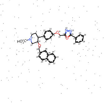 O=C(O)N1CCC(c2ccc(OCc3nnc(-c4ccccc4)o3)cc2)C(OCc2ccc3ccccc3c2)C1